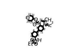 CCS(=O)(=O)NC1CCCC(C2CCC3C(C2)N(C(=O)OC2CCOCC2)C[C@H](C)N3C(C)=O)C1